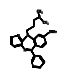 COc1ccc2c(c1)N(CCCN(C)C)c1ncccc1N=C2c1ccccc1